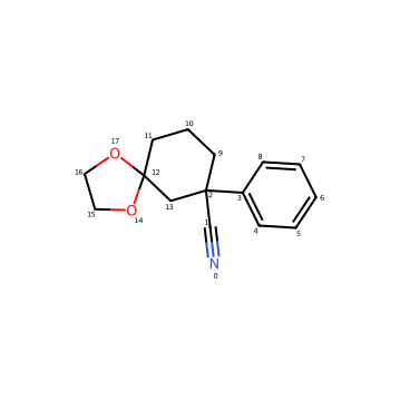 N#CC1(c2ccccc2)CCCC2(C1)OCCO2